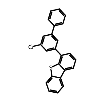 Clc1cc(-c2ccccc2)cc(-c2cccc3c2sc2ccccc23)c1